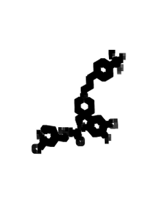 O=C(NCc1ccnc(Cl)c1)N1CC2(CCN(C/C=C/c3ccc(C(F)(F)F)cc3)CC2)c2cc(Cl)c(F)cc21